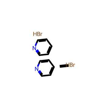 Br.Br.C=C.c1ccncc1.c1ccncc1